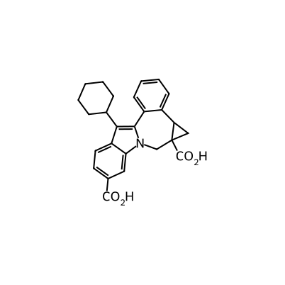 O=C(O)c1ccc2c(C3CCCCC3)c3n(c2c1)CC1(C(=O)O)CC1c1ccccc1-3